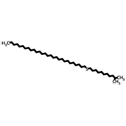 [CH2]CCCCCCCCCCCCCCCCCCCCCCCCCCCSCCCCCCCCCC(C)C